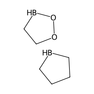 B1CCCC1.B1CCOO1